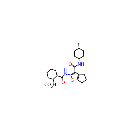 C[C@H]1CC[C@H](NC(=O)c2c(NC(=O)C3CCCCC3C(=O)O)sc3c2CCC3)CC1